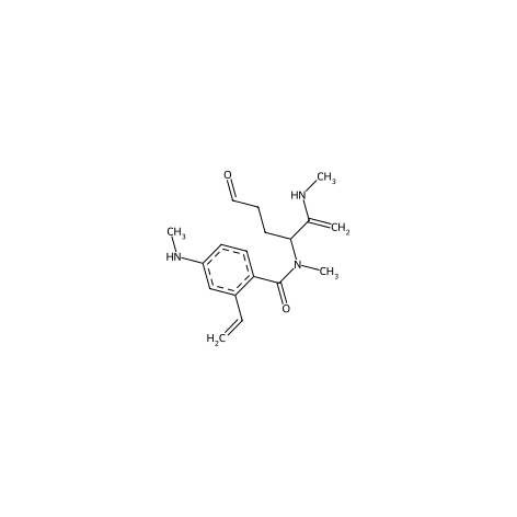 C=Cc1cc(NC)ccc1C(=O)N(C)C(CCC=O)C(=C)NC